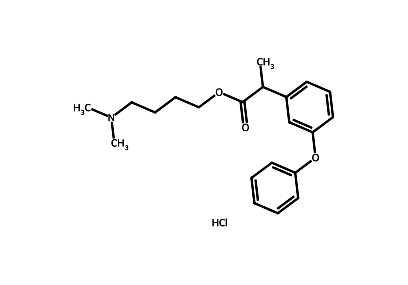 CC(C(=O)OCCCCN(C)C)c1cccc(Oc2ccccc2)c1.Cl